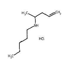 C=CCC(C)NCCCCC.Cl